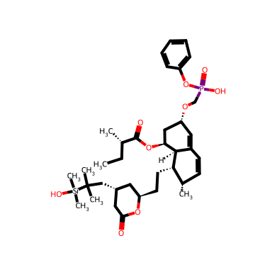 CC[C@H](C)C(=O)O[C@H]1C[C@H](OCP(=O)(O)Oc2ccccc2)C=C2C=C[C@H](C)[C@H](CC[C@@H]3C[C@@H](CC(C)(C)[Si](C)(C)O)CC(=O)O3)[C@H]21